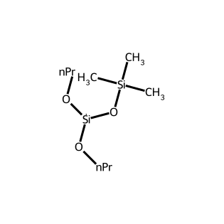 CCCO[Si](OCCC)O[Si](C)(C)C